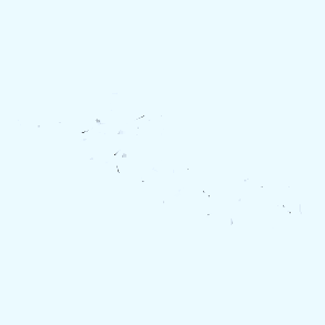 CO[C@@H]1[C@H](OC(=O)N2CCC3(CCNCC3)CC2)CC[C@]2(CO2)[C@H]1[C@@]1(C)O[C@@H]1CC=C(C)C